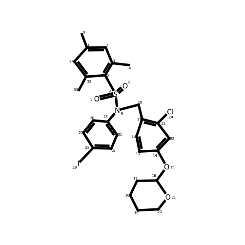 Cc1cc(C)c(S(=O)(=O)N(Cc2ccc(OC3CCCCO3)cc2Cl)c2ccc(I)cc2)c(C)c1